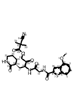 COc1cccc2sc(C(=O)NCC(=O)NC(C[C@@H]3CCCNC3=O)C(=O)COC(=O)C(C)(C)C#N)cc12